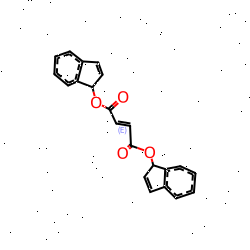 O=C(/C=C/C(=O)OC1C=Cc2ccccc21)OC1C=Cc2ccccc21